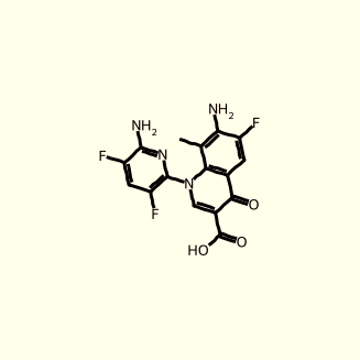 Cc1c(N)c(F)cc2c(=O)c(C(=O)O)cn(-c3nc(N)c(F)cc3F)c12